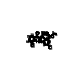 CCOC(=O)c1cc(Cl)cc2[nH]c(C(=O)c3cccc(Cl)c3)c(N)c12